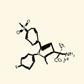 CC[C@](N)(C(=O)O)c1cc(-c2ccc(S(C)(=O)=O)cc2)n(-c2ccc(F)cc2)c1C